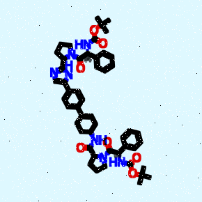 CC(C)(C)OC(=O)N[C@H](C(=O)N1CCCC1C(=O)NC1CC=C(c2ccc(-c3cnc(C4CCCN4C(=O)[C@H](NC(=O)OC(C)(C)C)c4ccccc4)[nH]3)cc2)CC1)c1ccccc1